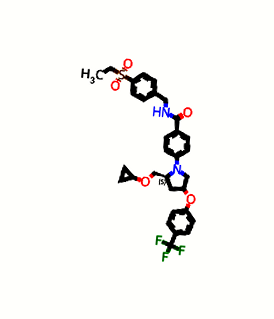 CCS(=O)(=O)c1ccc(CNC(=O)c2ccc(N3CC(Oc4ccc(C(F)(F)F)cc4)C[C@H]3COC3CC3)cc2)cc1